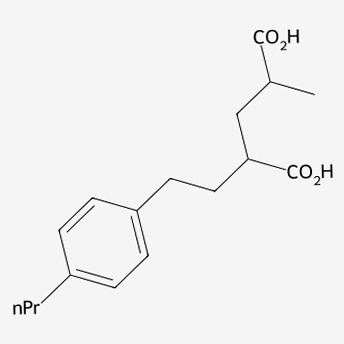 CCCc1ccc(CCC(CC(C)C(=O)O)C(=O)O)cc1